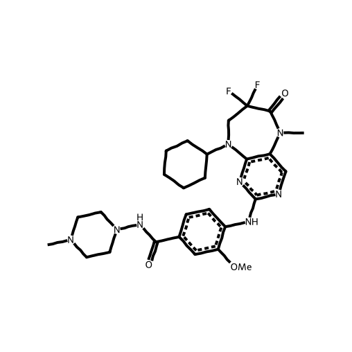 COc1cc(C(=O)NN2CCN(C)CC2)ccc1Nc1ncc2c(n1)N(C1CCCCC1)CC(F)(F)C(=O)N2C